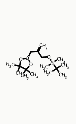 C=C(CO[Si](C)(C)C(C)(C)C)CB1OC(C)(C)C(C)(C)O1